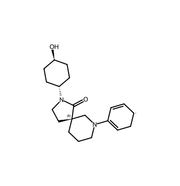 O=C1N([C@H]2CC[C@H](O)CC2)CC[C@@]12CCCN(C1=CC[CH]C=C1)C2